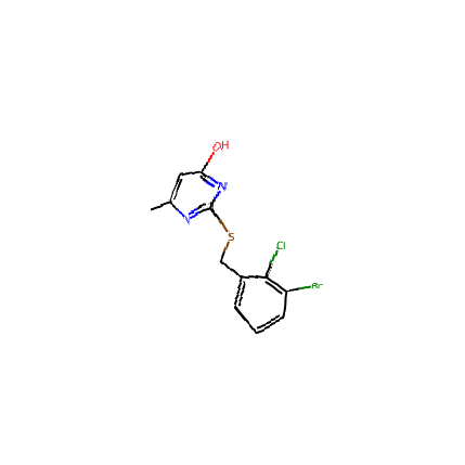 Cc1cc(O)nc(SCc2cccc(Br)c2Cl)n1